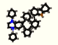 c1ccc(-n2ccn(-c3ccccc3)c3cc4c(cc32)c2ccccc2c2cccc(-c3cccc5c3sc3ccccc35)c2c2ccccc42)cc1